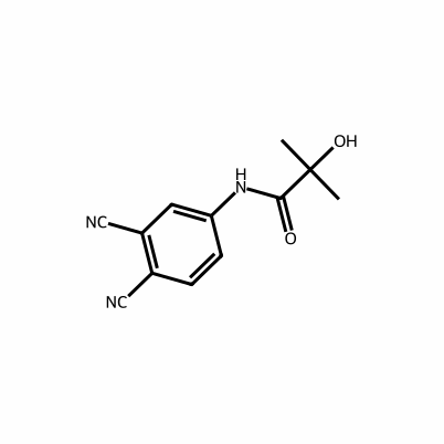 CC(C)(O)C(=O)Nc1ccc(C#N)c(C#N)c1